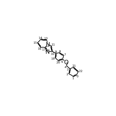 c1ccc(COc2ccc(-c3cn4ccccc4n3)cc2)cc1